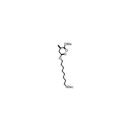 C=C(CC(=O)OCCCCCCCCCCCCCCCCCC)C(=O)OC